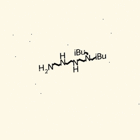 CCC(C)CN(CCNCCNCCN)CC(C)CC